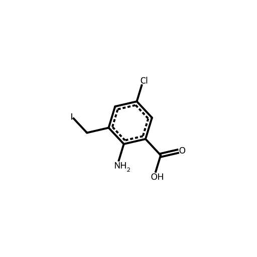 Nc1c(CI)cc(Cl)cc1C(=O)O